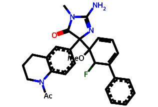 COC1(C2(c3ccc4c(c3)CCCN4C(C)=O)N=C(N)N(C)C2=O)C=CC=C(c2ccccc2)C1F